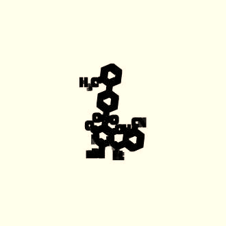 CCCCc1nc(=O)c(S(=O)(=O)c2ccc(-c3ccccc3C)cc2)c(O)n1[C@@H](CC)c1cccc(C#N)c1